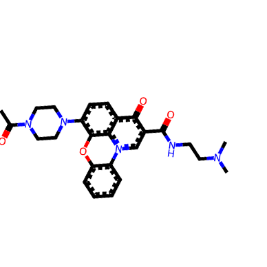 CC(=O)N1CCN(c2ccc3c(=O)c(C(=O)NCCN(C)C)cn4c3c2Oc2ccccc2-4)CC1